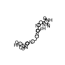 CN1CC2(CNC(=O)c3c2[nH]c2c3CCc3cnc(-c4ccc(N5CCC(CC6CCN(c7ccc8c(c7)n(C)c(=O)n8C7CCC(=O)NC7=O)CC6)CC5)cc4F)cc3-2)C1